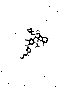 C[C@@H]1Cc2c([nH]c3c(F)cccc23)C(c2cc(F)c(NC3CCN(CCCF)C3)cc2OC(F)F)N1CC1(F)COC1